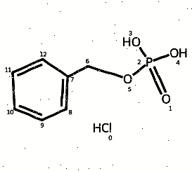 Cl.O=P(O)(O)OCc1ccccc1